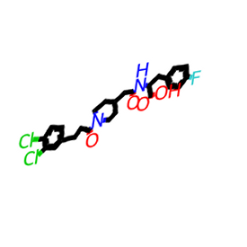 O=C(CC1CCN(C(=O)CCc2ccc(Cl)c(Cl)c2)CC1)NC(Cc1ccc(F)cc1)C(=O)O